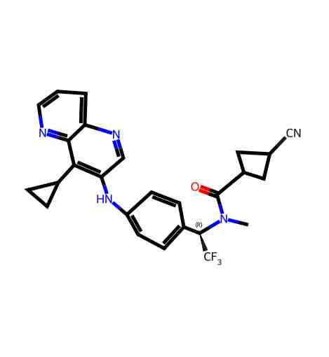 CN(C(=O)C1CC(C#N)C1)[C@H](c1ccc(Nc2cnc3cccnc3c2C2CC2)cc1)C(F)(F)F